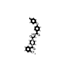 Cc1ccc(Oc2ccc(C(=O)NCC(=O)N3CCN(C(=O)c4ccccc4C(F)(F)F)CC3)cc2)cc1